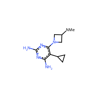 CNC1CN(c2nc(N)nc(N)c2C2CC2)C1